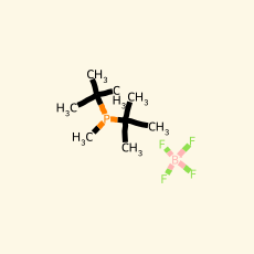 CP(C(C)(C)C)C(C)(C)C.F[B-](F)(F)F